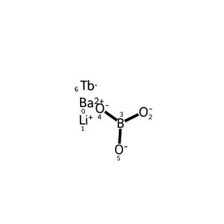 [Ba+2].[Li+].[O-]B([O-])[O-].[Tb]